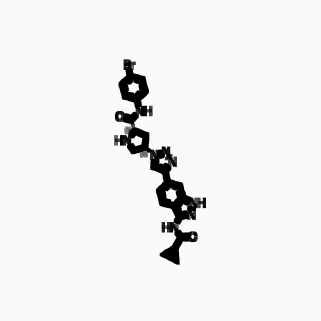 O=C(Nc1n[nH]c2cc(-c3cn([C@@H]4CN[C@H](C(=O)Nc5ccc(Br)cc5)C4)nn3)ccc12)C1CC1